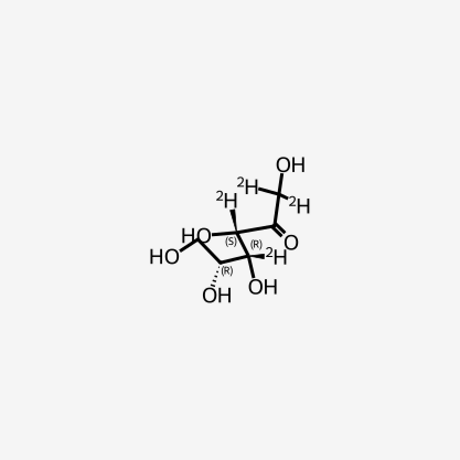 [2H]C([2H])(O)C(=O)[C@@]([2H])(O)[C@]([2H])(O)[C@H](O)CO